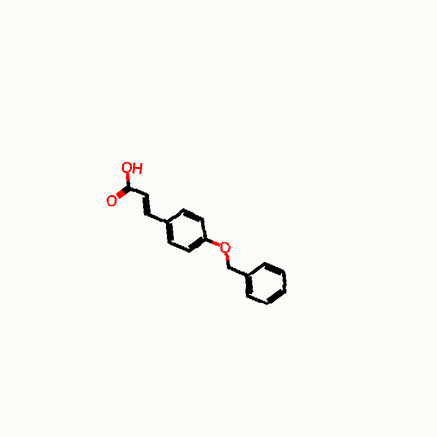 O=C(O)C=Cc1ccc(OCc2ccccc2)cc1